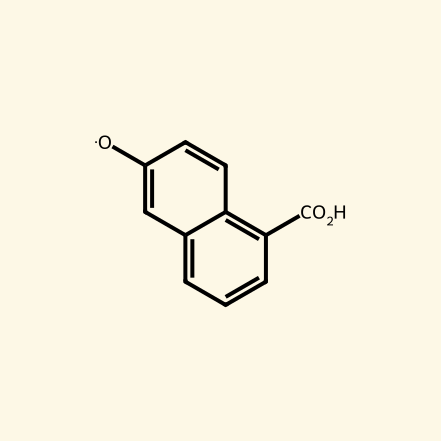 [O]c1ccc2c(C(=O)O)cccc2c1